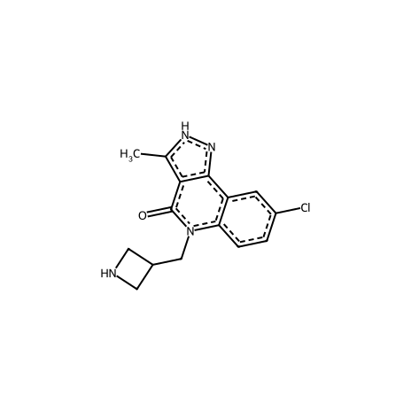 Cc1[nH]nc2c1c(=O)n(CC1CNC1)c1ccc(Cl)cc21